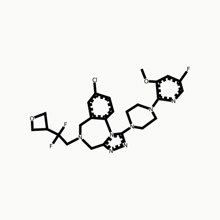 COc1cc(F)cnc1N1CCN(c2nnc3n2-c2ccc(Cl)cc2CN(CC(F)(F)C2COC2)C3)CC1